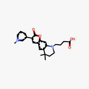 C[n+]1cccc(-c2cc3cc4c(cc3oc2=O)N(CCCC(=O)O)CCC4(C)C)c1